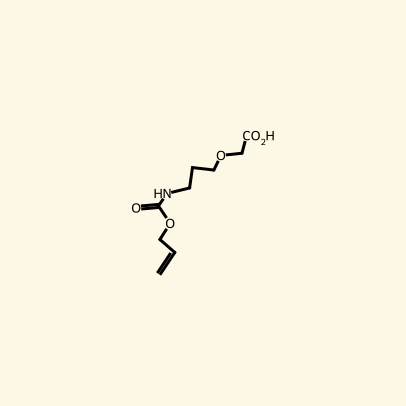 C=CCOC(=O)NCCCOCC(=O)O